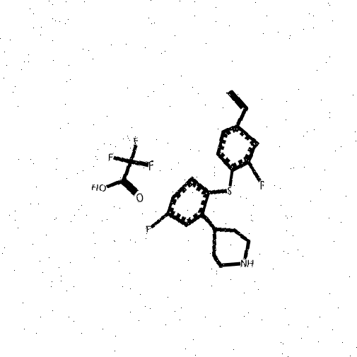 C=Cc1ccc(Sc2ccc(F)cc2C2CCNCC2)c(F)c1.O=C(O)C(F)(F)F